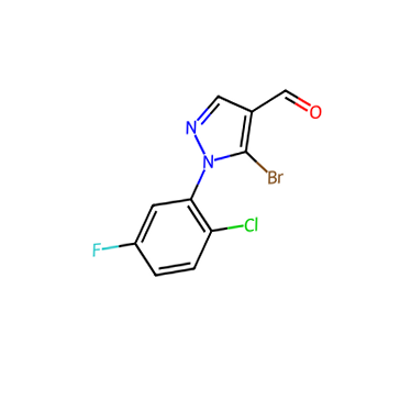 O=Cc1cnn(-c2cc(F)ccc2Cl)c1Br